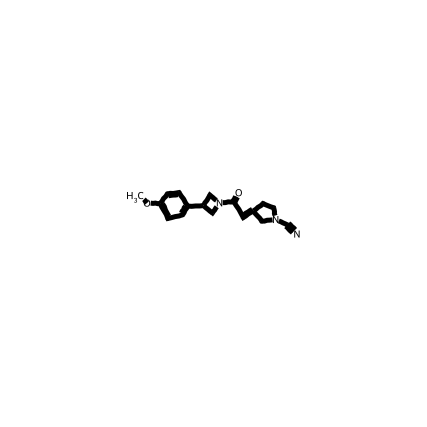 COc1ccc(C2CN(C(=O)C=C3CCN(C#N)C3)C2)cc1